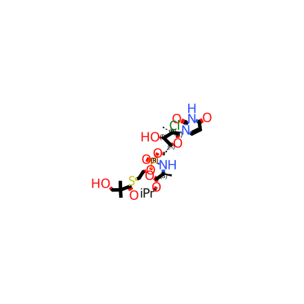 CC(C)OC(=O)[C@H](C)N[P@](=O)(OCCSC(=O)C(C)(C)CO)OC[C@H]1O[C@@H](n2ccc(=O)[nH]c2=O)[C@](C)(Cl)[C@@H]1O